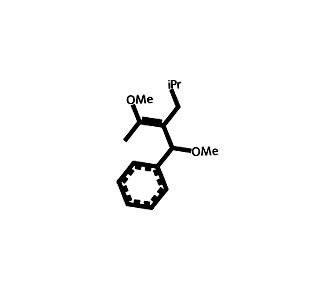 COC(C)=C(CC(C)C)C(OC)c1ccccc1